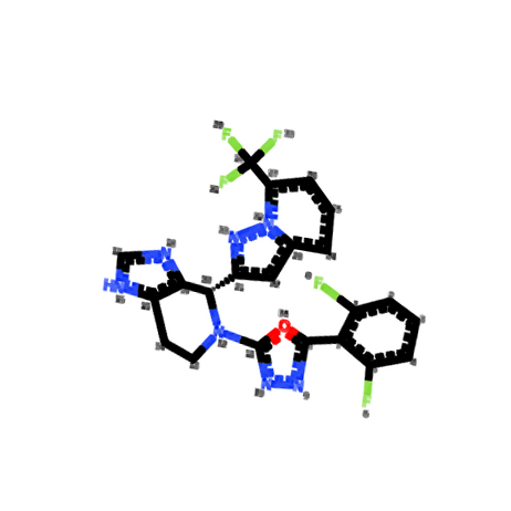 Fc1cccc(F)c1-c1nnc(N2CCc3[nH]cnc3[C@@H]2c2cc3cccc(C(F)(F)F)n3n2)o1